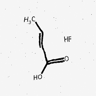 C/C=C/C(=O)O.F